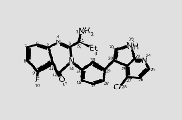 CC[C@H](N)c1nc2cccc(F)c2c(=O)n1-c1cccc(-c2c[nH]c3nccc(Cl)c23)c1